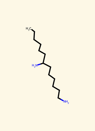 CCCCCCC(N)CCCCCCN